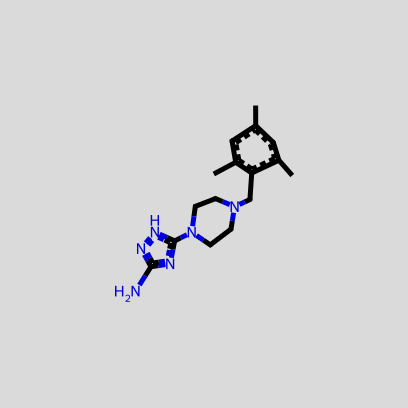 Cc1cc(C)c(CN2CCN(c3nc(N)n[nH]3)CC2)c(C)c1